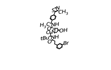 Cc1ncsc1-c1ccc(C(C)NC(=O)[C@@H]2C[C@@H](O)CN2C(=O)C(NC(=O)CCc2cccc(Br)c2)C(C)(C)C)cc1